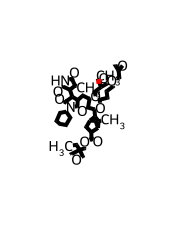 CCC1(COC(=O)C2CC3CC2C(C)C3C(CC(CC2C(=O)N(C3CCCCC3)C(=O)C2C2C(=O)NC(=O)C2C)OCC2(CC)COC2)OCCCCOCC2CO2)COC1